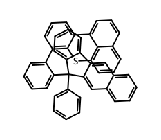 c1ccc(C2(c3ccccc3-c3cccc4c3Sc3cccc5cccc-4c35)c3ccccc3-c3cc4ccccc4cc32)cc1